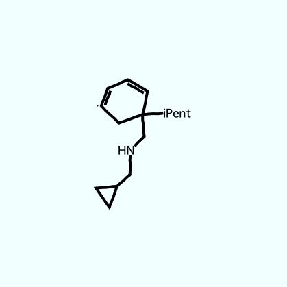 CCCC(C)C1(CNCC2CC2)C=CC=[C]C1